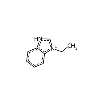 CC[n+]1c[nH]c2ccccc21